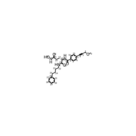 COCC#Cc1ccc(C(=O)N[C@@H](CCC(=O)NO)C(=O)NCCCCc2ccccc2)cc1